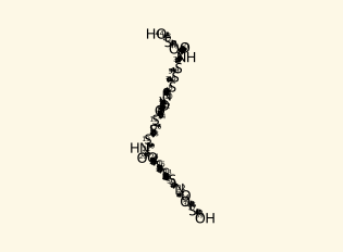 O=C(NCSCSCSC/N=C/OOCSCSCSCNC(=O)OCSCSCSC/N=C/OOCSCO)OCSCO